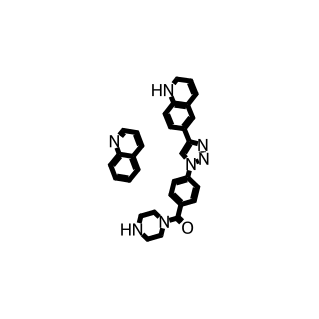 O=C(c1ccc(-n2cc(-c3ccc4c(c3)C=CCN4)nn2)cc1)N1CCNCC1.c1ccc2ncccc2c1